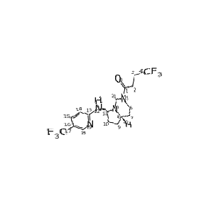 O=C(CCC(F)(F)F)N1CC[C@@H]2CC[C@@H](Nc3ccc(C(F)(F)F)cn3)N2C1